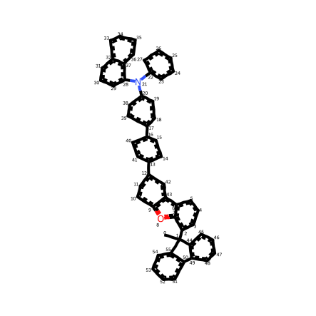 CC1(c2cccc3c2oc2ccc(-c4ccc(-c5ccc(N(c6ccccc6)c6cccc7ccccc67)cc5)cc4)cc23)c2ccccc2-c2ccccc21